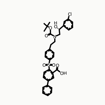 CC(C)(C)OC(=O)N(CCc1ccc(S(=O)(=O)c2ccc(-c3ccccc3)cc2C(=O)O)cc1)C[C@H](O)c1cccc(Cl)c1